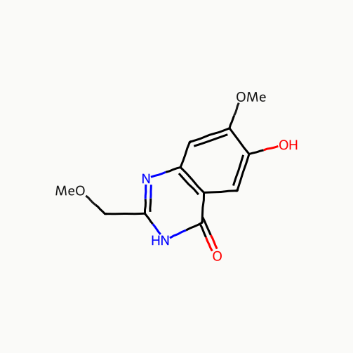 COCc1nc2cc(OC)c(O)cc2c(=O)[nH]1